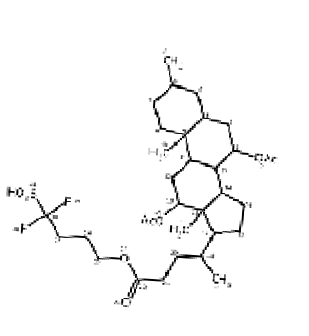 CC(=O)OC1CC2CC(C)CCC2(C)C2CC(OC(C)=O)C3(C)C(C(C)CCC(=O)OCCCC(F)(F)S(=O)(=O)O)CCC3C12